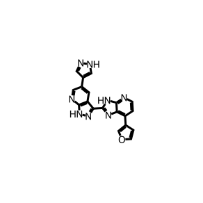 c1cc(-c2ccoc2)c2nc(-c3n[nH]c4ncc(-c5cn[nH]c5)cc34)[nH]c2n1